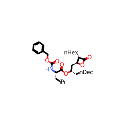 CCCCCCCCCCC[C@@H](C[C@@H]1OC(=O)[C@H]1CCCCCC)OC(=O)[C@H](CC(C)C)NC(=O)OCc1ccccc1